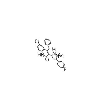 CC(=O)N1NC(c2c(Cc3ccccc3)c3cc(Cl)ccc3[nH]c2=O)CC1c1ccc(F)cc1